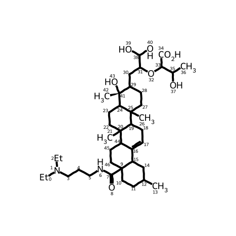 CCN(CC)CCCNC(=O)C12CCC(C)CC1C1=CCC3C(C)(CCC4C3(C)CCC(CC(OC(C(=O)O)C(C)O)C(O)O)[C@@]4(C)O)C1CC2